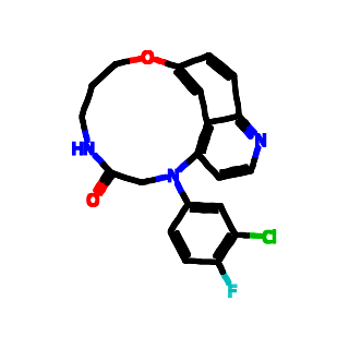 O=C1CN(c2ccc(F)c(Cl)c2)c2ccnc3ccc(cc23)OCCCN1